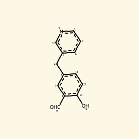 O=Cc1cc(Cc2cccnc2)ccc1O